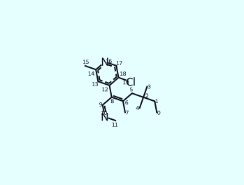 CCC(C)(C)C/C(C)=C(/C=N\C)c1cc(C)ncc1Cl